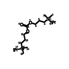 CC(C)[Si](C)(C)CCCOC(=O)OCCC[Si](C)(C)C(C)C